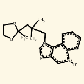 CC(C)(Cn1cnc2c[n+]([O-])c3ccccc3c21)CC1(C)OCCO1